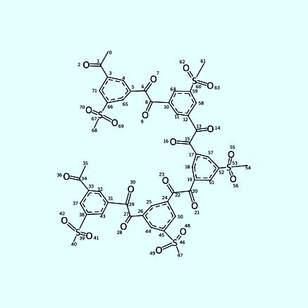 CC(=O)c1cc(C(=O)C(=O)c2cc(C(=O)C(=O)c3cc(C(=O)C(=O)c4cc(C(=O)C(=O)c5cc(C(C)=O)cc(S(C)(=O)=O)c5)cc(S(C)(=O)=O)c4)cc(S(C)(=O)=O)c3)cc(S(C)(=O)=O)c2)cc(S(C)(=O)=O)c1